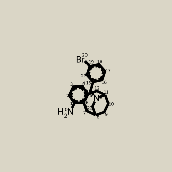 Nc1cccc2c1CC1CCC(C2)N(Cc2cccc(Br)c2)C1